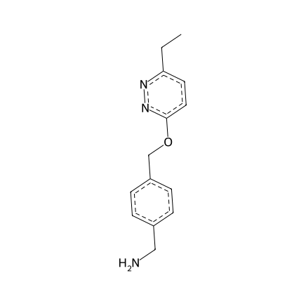 CCc1ccc(OCc2ccc(CN)cc2)nn1